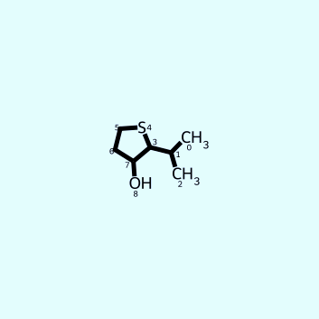 CC(C)C1SCCC1O